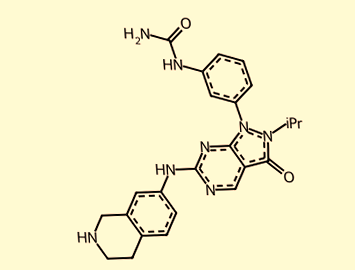 CC(C)n1c(=O)c2cnc(Nc3ccc4c(c3)CNCC4)nc2n1-c1cccc(NC(N)=O)c1